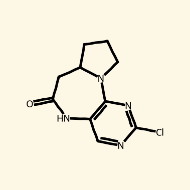 O=C1CC2CCCN2c2nc(Cl)ncc2N1